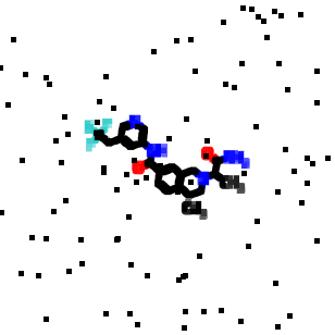 CC(C(N)=O)N1Cc2cc(C(=O)Nc3cncc(CC(F)(F)F)c3)ccc2[C@@H](C)C1